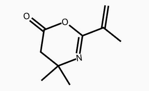 C=C(C)C1=NC(C)(C)CC(=O)O1